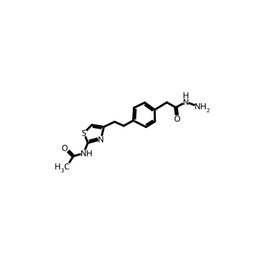 CC(=O)Nc1nc(CCc2ccc(CC(=O)NN)cc2)cs1